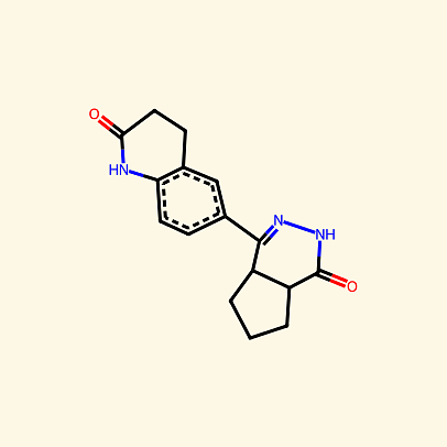 O=C1CCc2cc(C3=NNC(=O)C4CCCC34)ccc2N1